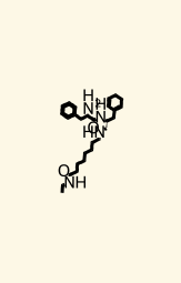 CCNC(=O)CCCCCCCNC[C@@H](CC1=CCCC=C1)NC(=O)[C@H](N)Cc1ccccc1